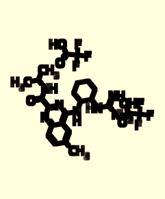 Cc1ccc2nc(C(=O)NC(C)C)nc(NC3CCCCC3NC(=N)N)c2c1.O=C(O)C(F)(F)F.O=C(O)C(F)(F)F